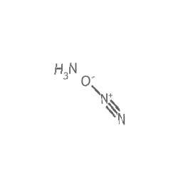 N.N#[N+][O-]